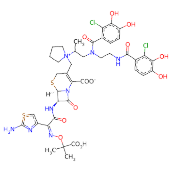 CC(CN(CCNC(=O)c1ccc(O)c(O)c1Cl)C(=O)c1ccc(O)c(O)c1Cl)[N+]1(CC2=C(C(=O)[O-])N3C(=O)[C@@H](NC(=O)/C(=N\OC(C)(C)C(=O)O)c4csc(N)n4)[C@H]3SC2)CCCC1